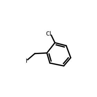 Clc1ccccc1CI